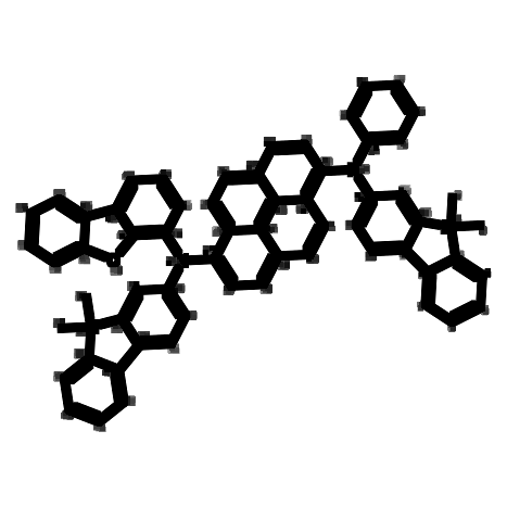 C[Si]1(C)c2ccccc2-c2ccc(N(c3ccccc3)c3ccc4ccc5c(N(c6ccc7c(c6)[Si](C)(C)c6ccccc6-7)c6cccc7c6oc6ccccc67)ccc6ccc3c4c65)cc21